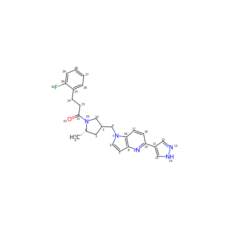 C[C@H]1CC(Cn2ccc3nc(-c4cn[nH]c4)ccc32)CN1C(=O)CCc1ccccc1F